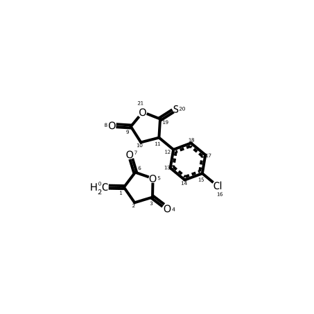 C=C1CC(=O)OC1=O.O=C1CC(c2ccc(Cl)cc2)C(=S)O1